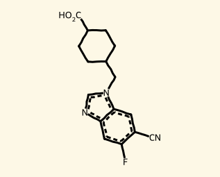 N#Cc1cc2c(cc1F)ncn2CC1CCC(C(=O)O)CC1